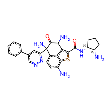 Nc1ccc2c3c(c(C(=O)N[C@@H]4CCC[C@@H]4N)sc13)C(N)C(=O)C2(N)c1cc(-c2ccccc2)cnn1